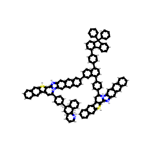 c1ccc(C2(c3ccccc3)c3ccccc3-c3c(-c4ccc(-c5ccc(-c6ccc(-c7cc8c9cc%10ccccc%10cc9sc8c8nc9cc%10cc%11ccccc%11cc%10cc9n78)cc6)c6cc(-c7ccc8cc9cc%10c(cc9cc8c7)nc7c8sc9cc%11ccccc%11cc9c8cc(-c8ccc(-c9cc%11cccnc%11c%11ccccc9%11)cc8)n%107)ccc56)cc4)cccc32)cc1